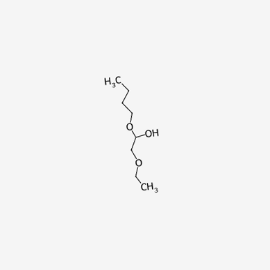 CCCCOC(O)COCC